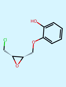 Oc1ccccc1OC[C@@H]1O[C@@H]1CCl